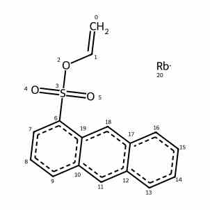 C=COS(=O)(=O)c1cccc2cc3ccccc3cc12.[Rb]